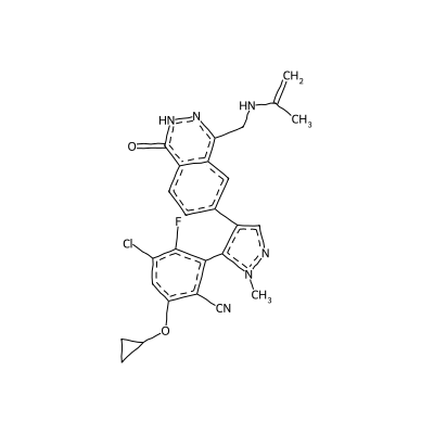 C=C(C)NCc1n[nH]c(=O)c2ccc(-c3cnn(C)c3-c3c(F)c(Cl)cc(OC4CC4)c3C#N)cc12